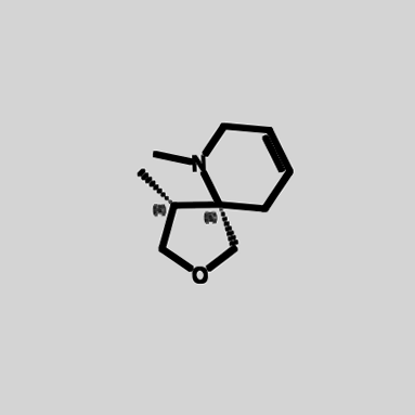 C[C@H]1COC[C@]12CC=CCN2C